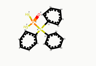 O=P(S)(S)S(c1ccccc1)(c1ccccc1)c1ccccc1